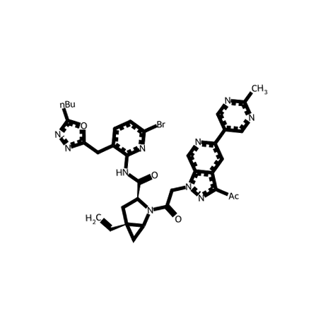 C=C[C@]12CC1N(C(=O)Cn1nc(C(C)=O)c3cc(-c4cnc(C)nc4)ncc31)[C@H](C(=O)Nc1nc(Br)ccc1Cc1nnc(CCCC)o1)C2